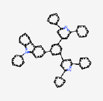 c1ccc(-c2cc(-c3cc(-c4cc(-c5ccccc5)nc(-c5ccccc5)c4)cc(-c4ccc5c(c4)c4ccccc4n5-c4ccccc4)c3)cc(-c3ccccc3)n2)cc1